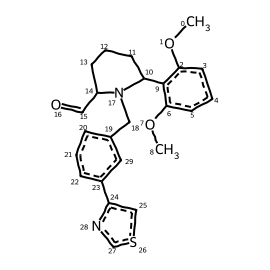 COc1cccc(OC)c1C1CCCC(C=O)N1Cc1cccc(-c2cscn2)c1